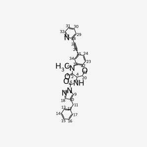 CN1C(=O)C(NC(=O)n2cc(Cc3ccccc3)cn2)COc2ccc(C#Cc3ccccn3)cc21